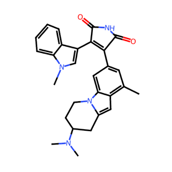 Cc1cc(C2=C(c3cn(C)c4ccccc34)C(=O)NC2=O)cc2c1cc1n2CCC(N(C)C)C1